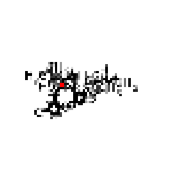 C=CCNC(C)(C)C(=O)NS(=O)(=O)c1ccc2c(c1)N(C[C@@H]1CC[C@H]1[C@H](C=C)OC(=O)N(C)C)CCCCc1cc(Cl)ccc1CO2